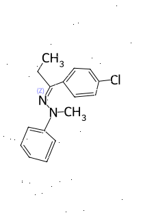 CC/C(=N/N(C)c1ccccc1)c1ccc(Cl)cc1